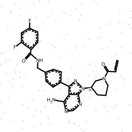 C=CC(=O)N1CCC[C@@H](n2nc(-c3ccc(CNC(=O)c4ccc(F)cc4F)cc3)c3c(N)ncnc32)C1